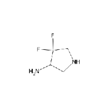 NC1CNCC1(F)F